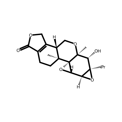 CC(C)[C@]12O[C@H]1[C@@H]1O[C@@]13[C@@]1(C)CCC4=C(COC4=O)[C@@H]1CO[C@@]3(C)[C@@H]2O